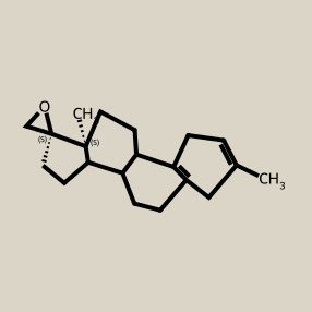 CC1=CCC2=C(CCC3C2CC[C@@]2(C)C3CC[C@@]23CO3)C1